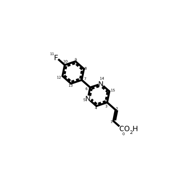 O=C(O)/C=C/c1cnc(-c2ccc(F)cc2)nc1